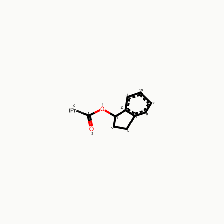 CC(C)C(=O)OC1CCc2ccccc21